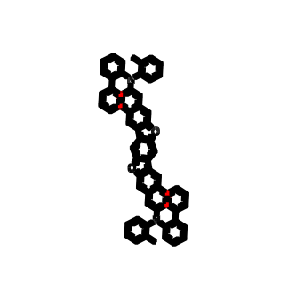 Cc1ccccc1N(c1ccc2cc3c(cc2c1)oc1cc2c(cc13)oc1cc3cc(N(c4ccccc4C)c4ccccc4-c4ccccc4)ccc3cc12)c1ccccc1-c1ccccc1